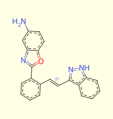 Nc1ccc2oc(-c3ccccc3/C=C/c3n[nH]c4ccccc34)nc2c1